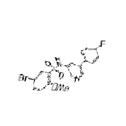 COc1ccc(Br)cc1S(=O)(=O)Nc1cncc(-c2ccc(F)cc2)c1